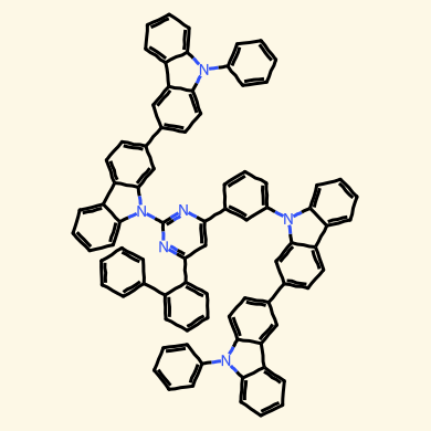 c1ccc(-c2ccccc2-c2cc(-c3cccc(-n4c5ccccc5c5ccc(-c6ccc7c(c6)c6ccccc6n7-c6ccccc6)cc54)c3)nc(-n3c4ccccc4c4ccc(-c5ccc6c(c5)c5ccccc5n6-c5ccccc5)cc43)n2)cc1